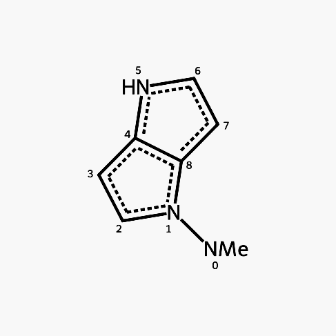 CNn1ccc2[nH]ccc21